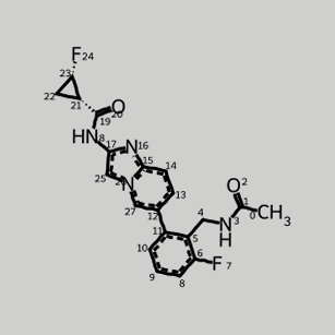 CC(=O)NCc1c(F)cccc1-c1ccc2nc(NC(=O)[C@@H]3C[C@@H]3F)cn2c1